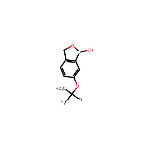 CCC(C)(Oc1ccc2c(c1)B(O)OC2)C(=O)O